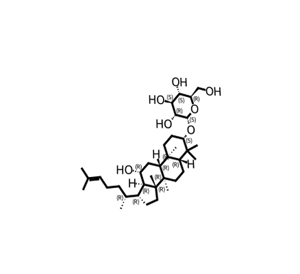 CC(C)=CCC[C@@H](C)[C@H]1CC[C@]2(C)[C@@H]1[C@H](O)C[C@@H]1[C@@]3(C)CC[C@H](O[C@H]4O[C@H](CO)[C@@H](O)[C@H](O)[C@H]4O)C(C)(C)[C@@H]3CC[C@]12C